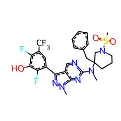 CN(c1ncc2c(-c3cc(C(F)(F)F)c(F)c(O)c3F)nn(C)c2n1)C1(Cc2ccccc2)CCCN(S(C)(=O)=O)C1